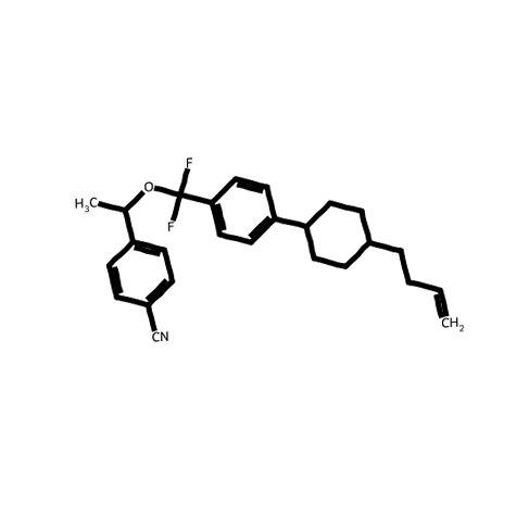 C=CCCC1CCC(c2ccc(C(F)(F)OC(C)c3ccc(C#N)cc3)cc2)CC1